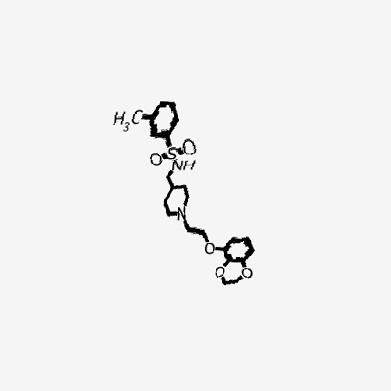 Cc1cccc(S(=O)(=O)NCC2CCN(CCOc3cccc4c3OCCO4)CC2)c1